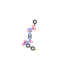 O=C(NCC(=O)N1CC2CN(C(=O)Nc3cc(-c4ccc(F)cc4)ccc3[N+](=O)[O-])CC2C1)OCc1ccccc1